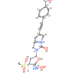 C[C@](CCN1Cc2cc(C#Cc3ccc(CO)cc3)cn2C1=O)(C(=O)NO)S(C)(=O)=O